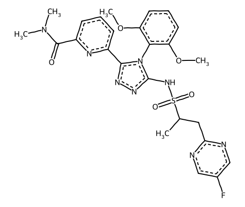 COc1cccc(OC)c1-n1c(NS(=O)(=O)C(C)Cc2ncc(F)cn2)nnc1-c1cccc(C(=O)N(C)C)n1